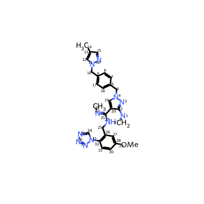 C=Nc1nn(Cc2ccc(Cn3cc(C)cn3)cc2)cc1/C(=N\C)NCc1cc(OC)ccc1-n1cnnn1